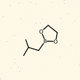 CC(C)CB1OCCO1